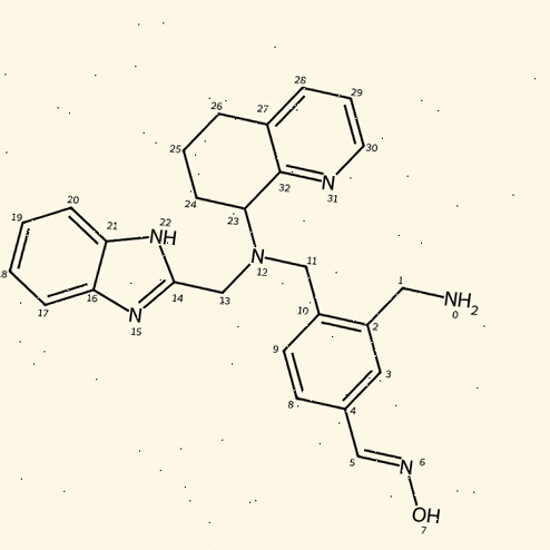 NCc1cc(C=NO)ccc1CN(Cc1nc2ccccc2[nH]1)C1CCCc2cccnc21